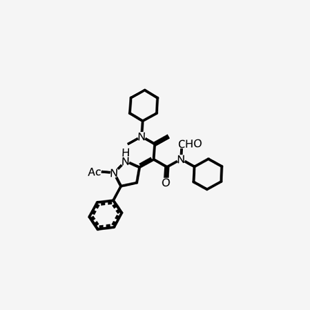 C=C(/C(C(=O)N(C=O)C1CCCCC1)=C1/CC(c2ccccc2)N(C(C)=O)N1)N(C)C1CCCCC1